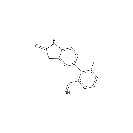 Cc1cccc(C=N)c1-c1ccc2c(c1)CC(=O)N2